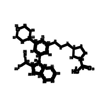 O=C(O)N1CC[C@H](CCCc2nc(N3CCOCC3)cc(-n3c(C(F)F)nc4ccccc43)n2)C1